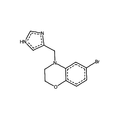 Brc1ccc2c(c1)N(Cc1c[nH]cn1)CCO2